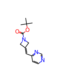 CC(C)(C)OC(=O)N1CC(=Cc2ccncn2)C1